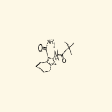 CC(C)(C)C(=O)Nc1sc2c(c1C(N)=O)CCCC2